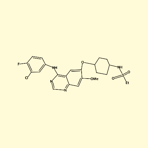 CCS(=O)(=O)NC1CCC(Oc2cc3c(Nc4ccc(F)c(Cl)c4)ncnc3cc2OC)CC1